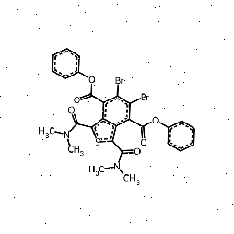 CN(C)C(=O)c1sc(C(=O)N(C)C)c2c(C(=O)Oc3ccccc3)c(Br)c(Br)c(C(=O)Oc3ccccc3)c12